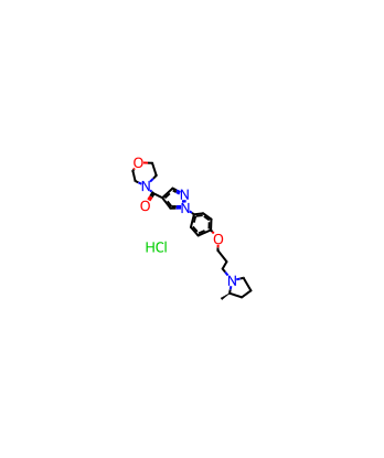 C[C@@H]1CCCN1CCCOc1ccc(-n2cc(C(=O)N3CCOCC3)cn2)cc1.Cl